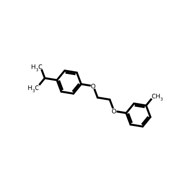 Cc1cccc(OCCOc2ccc(C(C)C)cc2)c1